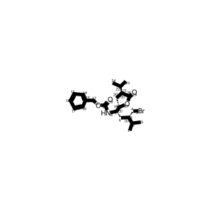 CC(C)[C@@H](CBr)C[C@H](NC(=O)OCc1ccccc1)[C@@H]1C[C@@H](C(C)C)C(=O)O1